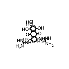 Cl.Cl.N=C(N)NNc1ccc(NNC(=N)N)c2c1C(=O)c1c(O)ccc(O)c1C2=O